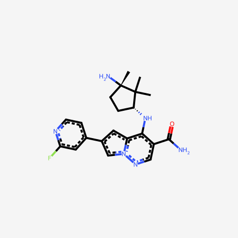 CC1(C)[C@H](Nc2c(C(N)=O)cnn3cc(-c4ccnc(F)c4)cc23)CC[C@]1(C)N